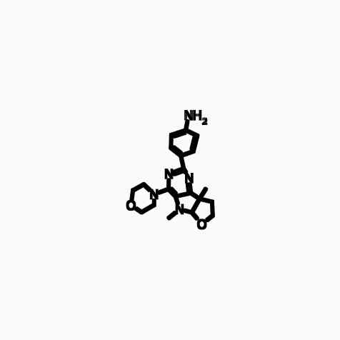 CN1c2c(N3CCOCC3)nc(-c3ccc(N)cc3)nc2C2(C)CCOC12